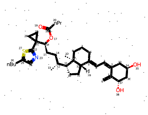 C=C1/C(=C\C=C2/CCC[C@]3(C)[C@@H]([C@H](C)CC[C@H](OC(=O)CCC)C4(c5ncc(CCCC)s5)CC4)CC[C@@H]23)C[C@@H](O)C[C@@H]1O